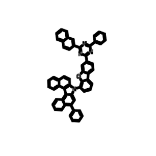 c1ccc(-c2nc(-c3ccc4ccccc4c3)nc(-c3ccc4c(c3)oc3c(-n5c6ccc7ccccc7c6c6c7ccccc7c(-c7ccccc7)cc65)cccc34)n2)cc1